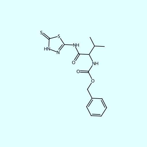 CC(C)C(NC(=O)OCc1ccccc1)C(=O)Nc1n[nH]c(=S)s1